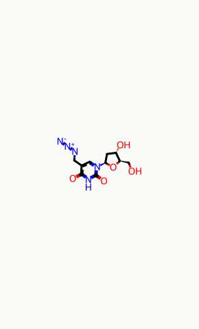 [N-]=[N+]=NCc1cn([C@H]2C[C@H](O)[C@@H](CO)O2)c(=O)[nH]c1=O